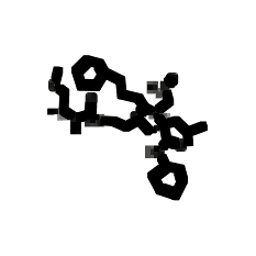 COC[C@@H](C)NC(=O)NCCCC[C@](CC(C)C)(C(=O)Nc1ccccc1)N(C[PH2]=O)C(=O)CCCc1ccccc1